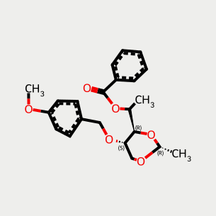 COc1ccc(CO[C@H]2CO[C@@H](C)O[C@@H]2C(C)OC(=O)c2ccccc2)cc1